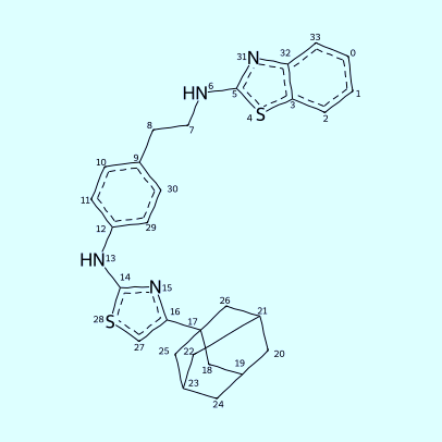 c1ccc2sc(NCCc3ccc(Nc4nc(C56CC7CC(CC(C7)C5)C6)cs4)cc3)nc2c1